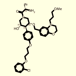 COCCCN1CCOc2ccc(CO[C@H]3CN(C(=O)[C@@H](N)C(C)C)C[C@@H](O)[C@@H]3c3ccc(OCCCOc4ccccc4Cl)cc3)cc21